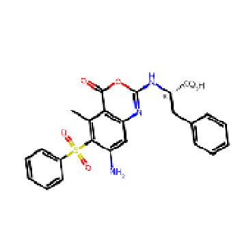 Cc1c(S(=O)(=O)c2ccccc2)c(N)cc2nc(N[C@@H](Cc3ccccc3)C(=O)O)oc(=O)c12